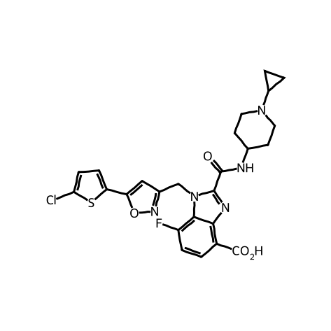 O=C(O)c1ccc(F)c2c1nc(C(=O)NC1CCN(C3CC3)CC1)n2Cc1cc(-c2ccc(Cl)s2)on1